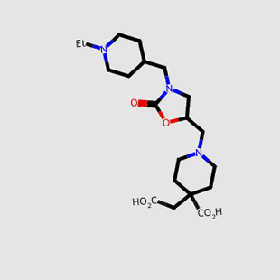 CCN1CCC(CN2CC(CN3CCC(CC(=O)O)(C(=O)O)CC3)OC2=O)CC1